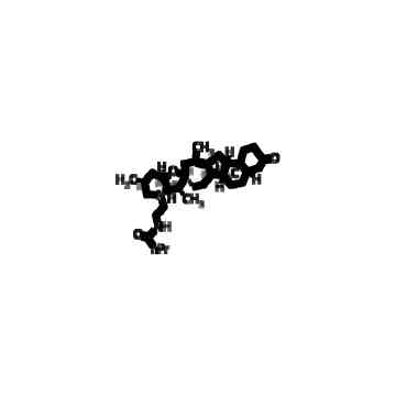 CCCC(=O)NCCN1C[C@@H](C)C[C@H]2O[C@]3(CC[C@@H]4C(=C(C)C3)C[C@H]3[C@H]4CC[C@@H]4CC(=O)CC[C@@]43C)[C@H](C)[C@@H]21